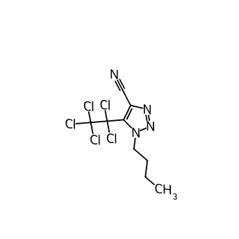 CCCCn1nnc(C#N)c1C(Cl)(Cl)C(Cl)(Cl)Cl